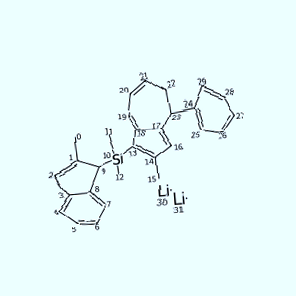 CC1=Cc2ccccc2C1[Si](C)(C)C1=C(C)C=C2C1=CC=CCC2c1ccccc1.[Li].[Li]